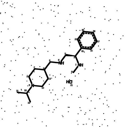 CN[C@@H](CNCC1CCN(C(C)C)CC1)c1ccccc1.Cl